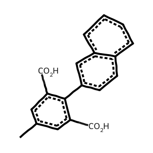 Cc1cc(C(=O)O)c(-c2ccc3ccccc3c2)c(C(=O)O)c1